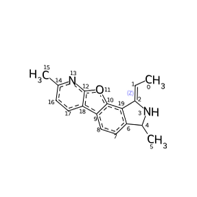 C/C=C1\NC(C)c2ccc3c(oc4nc(C)ccc43)c21